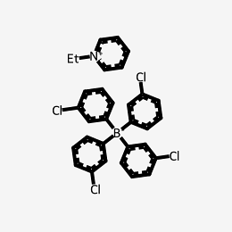 CC[n+]1ccccc1.Clc1cccc([B-](c2cccc(Cl)c2)(c2cccc(Cl)c2)c2cccc(Cl)c2)c1